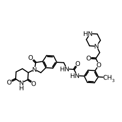 Cc1ccc(NC(=O)NCc2ccc3c(c2)CN(C2CCC(=O)NC2=O)C3=O)cc1OC(=O)CN1CCNCC1